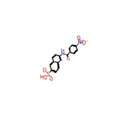 O=C(Nc1ccc2cc(S(=O)(=O)O)ccc2c1)c1ccc([N+](=O)[O-])cc1